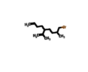 C=CCCC(CCC(C)CBr)C(=C)C